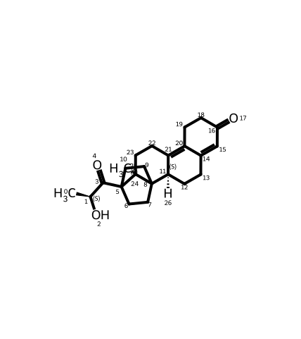 C[C@H](O)C(=O)C12CCC3(CC1)[C@@H]1CCC4=CC(=O)CCC4=C1CC[C@]23C